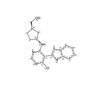 OC[C@@H]1CC[C@H](Nc2ncnc(Cl)c2-c2nc3ccccc3s2)C1